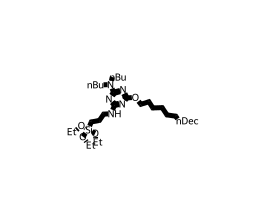 CCCCCCCCCCCCCCCCOc1nc(NCCC[Si](OCC)(OCC)OCC)nc(N(CCCC)CCCC)n1